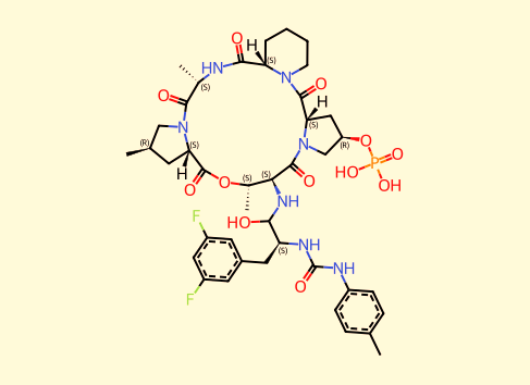 Cc1ccc(NC(=O)N[C@@H](Cc2cc(F)cc(F)c2)C(O)N[C@@H]2C(=O)N3C[C@H](OP(=O)(O)O)C[C@H]3C(=O)N3CCCC[C@H]3C(=O)N[C@@H](C)C(=O)N3C[C@H](C)C[C@H]3C(=O)O[C@H]2C)cc1